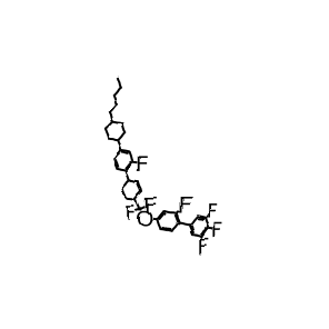 CCCCCC1CCC(c2ccc(C3CCC(C(F)(F)Oc4ccc(-c5cc(F)c(F)c(F)c5)c(F)c4)CC3)c(F)c2)CC1